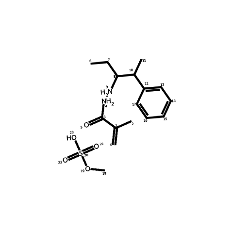 C=C(C)C(N)=O.CCC(N)C(C)c1ccccc1.COS(=O)(=O)O